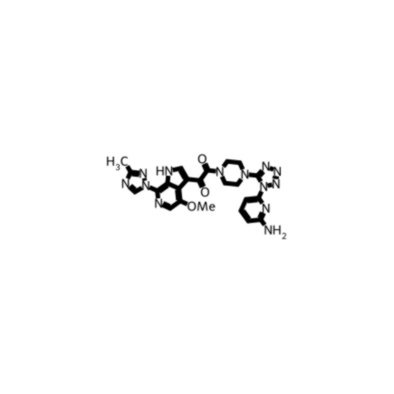 COc1cnc(-n2cnc(C)n2)c2[nH]cc(C(=O)C(=O)N3CCN(c4nnnn4-c4cccc(N)n4)CC3)c12